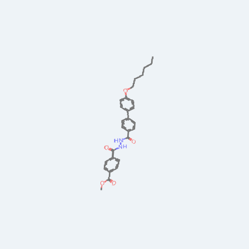 CCCCCCOc1ccc(-c2ccc(C(=O)NNC(=O)c3ccc(C(=O)OC)cc3)cc2)cc1